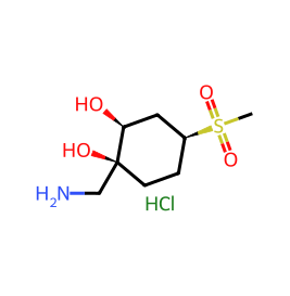 CS(=O)(=O)[C@H]1CC[C@](O)(CN)[C@@H](O)C1.Cl